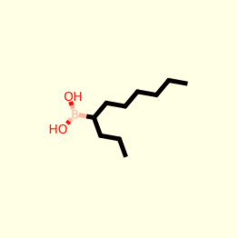 CCCCCCC(CCC)B(O)O